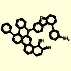 N=C1C=Cc2ccc3ccc(N(c4ccc5c(c4)oc4cccc(-c6cccc(N)c6)c45)c4ccccc4-c4ccccc4-c4ccccc4)cc3c2C1=N